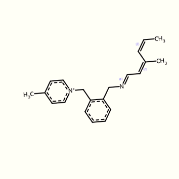 C\C=C/C(C)=C\C=N\Cc1ccccc1C[n+]1ccc(C)cc1